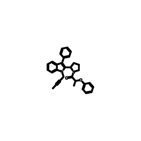 CC#CCn1c(C2CCCN2C(=O)C(C)Oc2ccccc2)c(-c2ccccc2)c2ccccc21